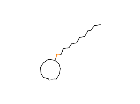 CCCCCCCCCCC[P]C1CCCCCCCCCC1